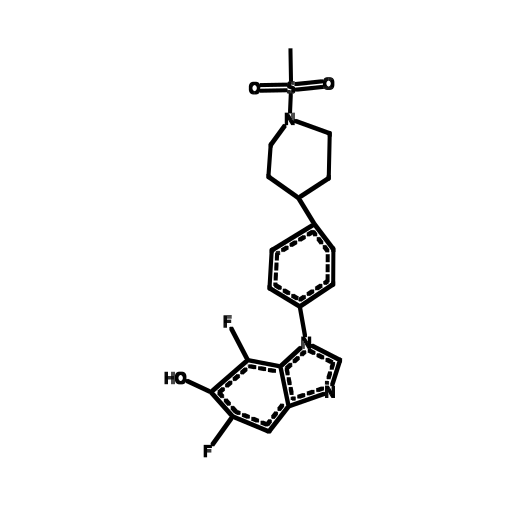 CS(=O)(=O)N1CCC(c2ccc(-n3cnc4cc(F)c(O)c(F)c43)cc2)CC1